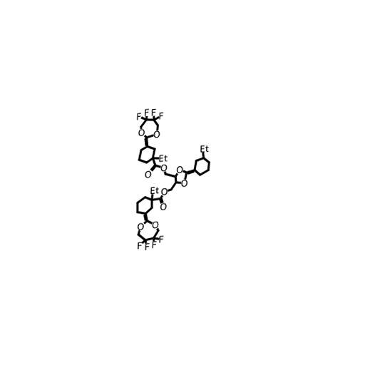 CCC1CCCC(=C2OC(COC(=O)C3(CC)CCCC(=C4OCC(F)(F)C(F)(F)CO4)C3)C(COC(=O)C3(CC)CCCC(=C4OCC(F)(F)C(F)(F)CO4)C3)O2)C1